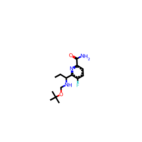 CCC(NCOC(C)(C)C)c1nc(C(N)=O)ccc1F